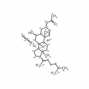 CC(=O)O[C@H]1CC[C@@]2(C)C(C1)[C@H](O)[C@@H](N=[N+]=[N-])[C@H]1[C@@H]3CC[C@H](C(C)CCCC(C)C)[C@@]3(C)CC[C@@H]12